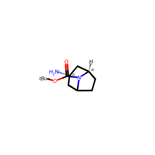 CC(C)(C)OC(=O)N1C2CC[C@@H]1C[C@@H](N)C2